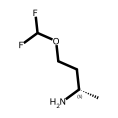 C[C@H](N)CCOC(F)F